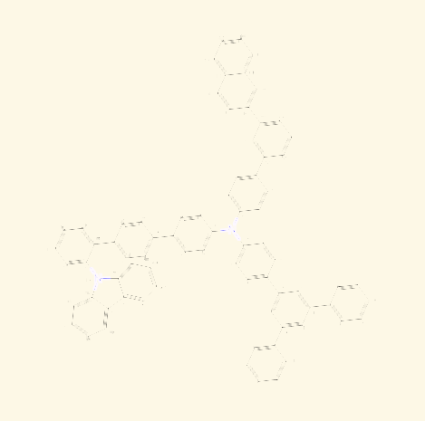 c1ccc(-c2cc(-c3ccccc3)cc(-c3ccc(N(c4ccc(-c5ccc(-c6ccccc6-n6c7ccccc7c7ccccc76)cc5)cc4)c4ccc(-c5cccc(-c6ccc7ccccc7c6)c5)cc4)cc3)c2)cc1